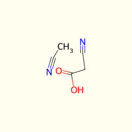 CC#N.N#CCC(=O)O